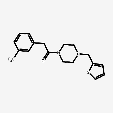 O=C(Cc1cccc(C(F)(F)F)c1)N1CCN(Cc2cccs2)CC1